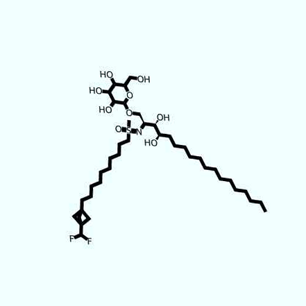 CCCCCCCCCCCCCC[C@@H](O)[C@@H](O)[C@H](COC1OC(CO)C(O)C(O)C1O)N=S(C)(=O)CCCCCCCCCCC12CC(C(F)F)(C1)C2